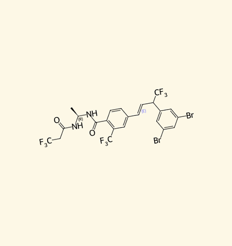 C[C@H](NC(=O)CC(F)(F)F)NC(=O)c1ccc(/C=C/C(c2cc(Br)cc(Br)c2)C(F)(F)F)cc1C(F)(F)F